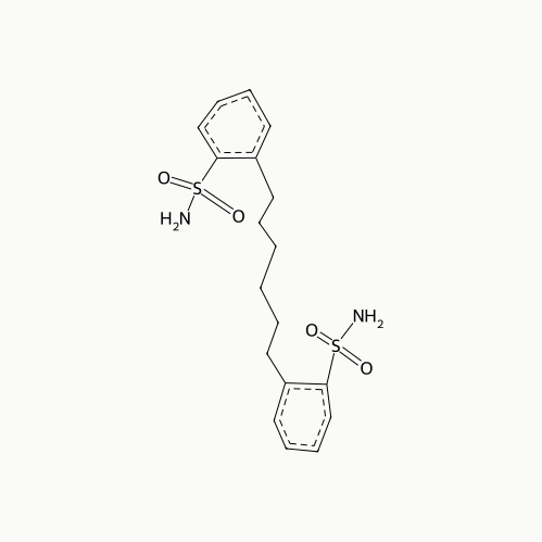 NS(=O)(=O)c1ccccc1CCCCCCc1ccccc1S(N)(=O)=O